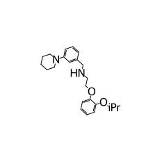 CC(C)Oc1ccccc1OCCNCc1cccc(N2CCCCC2)c1